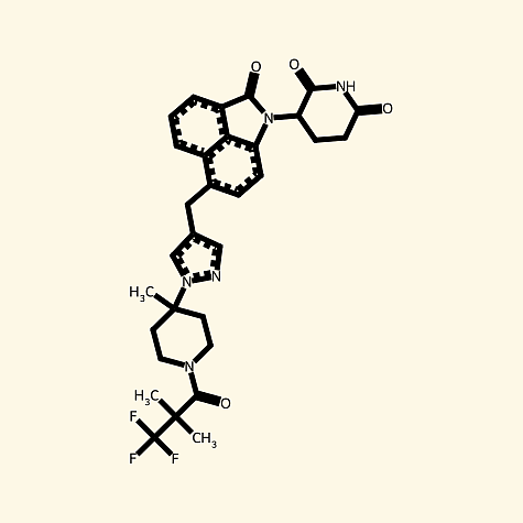 CC1(n2cc(Cc3ccc4c5c(cccc35)C(=O)N4C3CCC(=O)NC3=O)cn2)CCN(C(=O)C(C)(C)C(F)(F)F)CC1